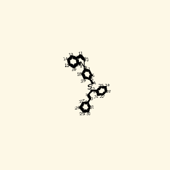 C(=CC(SCc1ccc(-n2ccc3ccccc32)cc1)c1ccccc1)c1ccccc1